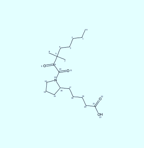 CCCCCC(C)(C)C(=O)C(=O)N1CCCC1CCCCC(=O)O